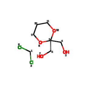 ClCCl.OCC1(CO)OCCCO1